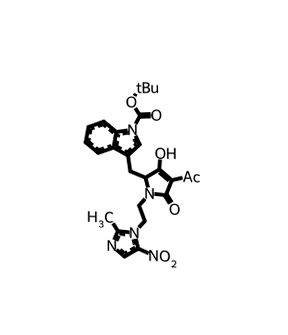 CC(=O)C1=C(O)C(Cc2cn(C(=O)OC(C)(C)C)c3ccccc23)N(CCn2c([N+](=O)[O-])cnc2C)C1=O